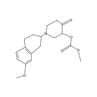 COC(=O)OC1CN(C2CCc3ccc(OC)cc3C2)CCC1=O